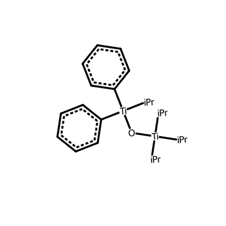 C[CH](C)[Ti]([O][Ti]([CH](C)C)([CH](C)C)[CH](C)C)([c]1ccccc1)[c]1ccccc1